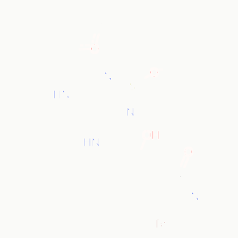 CC[C@@H](Nc1n[s+]([O-])nc1Nc1ccc(Br)c(C(=O)N(C)C)c1O)c1ccc(C)o1